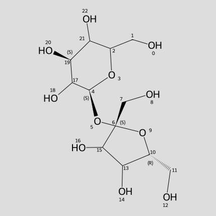 OCC1O[C@@H](O[C@]2(CO)O[C@H](CO)C(O)C2O)C(O)[C@@H](O)C1O